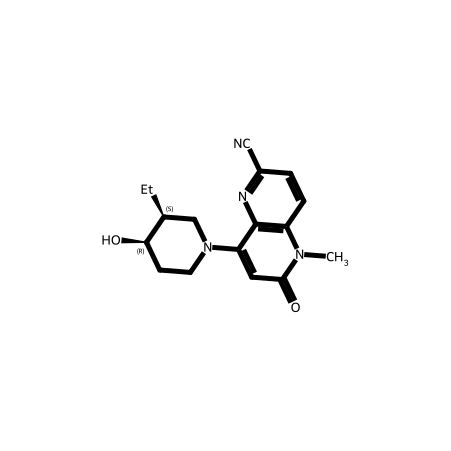 CC[C@H]1CN(c2cc(=O)n(C)c3ccc(C#N)nc23)CC[C@H]1O